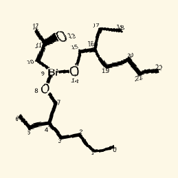 CCCCC(CC)C[O][Bi]([CH2]C(C)=O)[O]CC(CC)CCCC